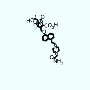 C[C@@H](O)[C@H]1C(=O)N2C(C(=O)O)=C(COc3cccc4c(CCN5CCN(CC(N)=O)CC5)cccc34)[C@H](C)[C@H]12